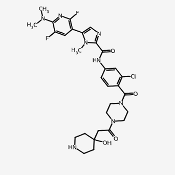 CN(C)c1nc(F)c(-c2cnc(C(=O)Nc3ccc(C(=O)N4CCN(C(=O)CC5(O)CCNCC5)CC4)c(Cl)c3)n2C)cc1F